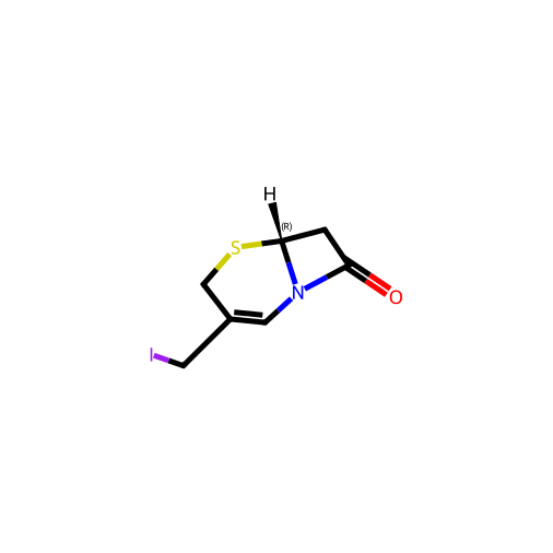 O=C1C[C@H]2SCC(CI)=CN12